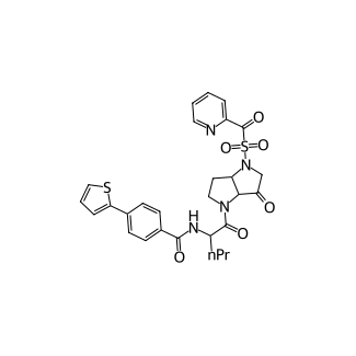 CCCC(NC(=O)c1ccc(-c2cccs2)cc1)C(=O)N1CCC2C1C(=O)CN2S(=O)(=O)C(=O)c1ccccn1